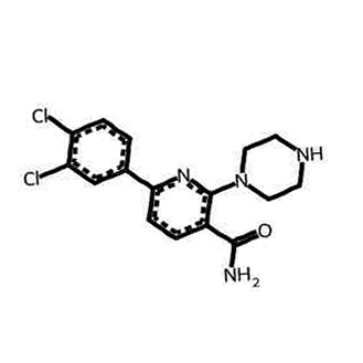 NC(=O)c1ccc(-c2ccc(Cl)c(Cl)c2)nc1N1CCNCC1